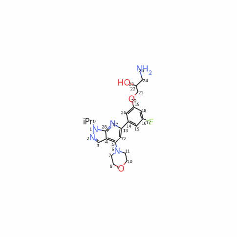 CC(C)n1ncc2c(N3CCOCC3)cc(-c3cc(F)cc(OCC(O)CN)c3)nc21